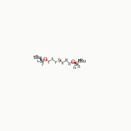 CC(C)(C)[Si](C)(C)OCCCSCCCO[Si](C)(C)C(C)(C)C